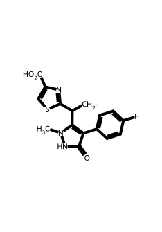 [CH2]C(c1nc(C(=O)O)cs1)c1c(-c2ccc(F)cc2)c(=O)[nH]n1C